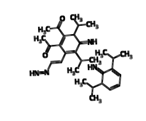 CC(=O)C1=C(C(C)=O)C(C(C)C)C(=N)C(C(C)C)=C1C=CN=N.CC(C)C1=CC=CC(C(C)C)C1=N